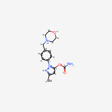 CC(C)(C)c1cc(OC(N)=O)n(-c2ccc(CN3CCOCC3)cc2)n1